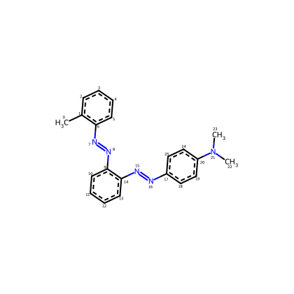 Cc1ccccc1N=Nc1ccccc1N=Nc1ccc(N(C)C)cc1